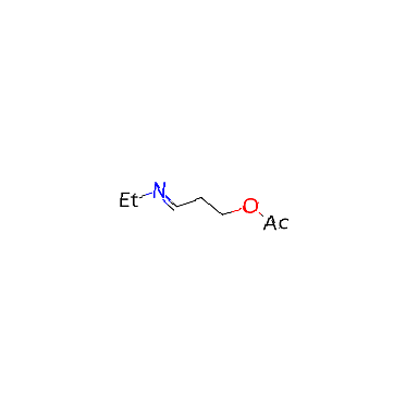 CCN=CCCOC(C)=O